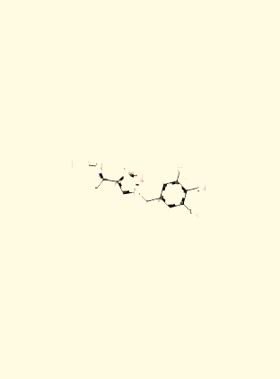 O/N=C(\Cl)c1cn(Cc2cc(Br)c(Br)c(Br)c2)nn1